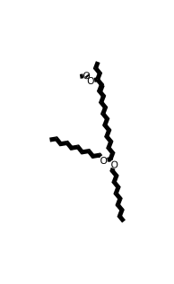 CCCCCCCCCCOC(CCCCCCCCCCCC=CC(CCC)OOC)OCCCCCCCCCC